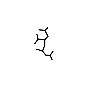 CC(C)CC(C)CC(CC(C)C)C(C)C